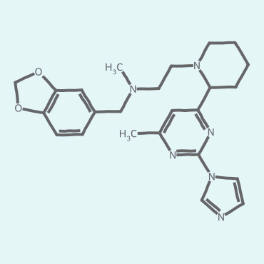 Cc1cc(C2CCCCN2CCN(C)Cc2ccc3c(c2)OCO3)nc(-n2ccnc2)n1